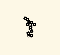 c1ccc2cc(-n3c4ccccc4c4c3ccc3c5ccccc5n(-c5ccc6sc7c(-c8cccc9oc%10ccccc%10c89)cccc7c6c5)c34)ccc2c1